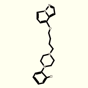 Clc1ccccc1N1CCN(CCCCOc2cccn3nccc23)CC1